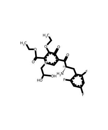 CCOC(=O)c1c(OCC)c(=O)c(C(=O)[C@@H](N)Cc2c(F)cc(F)cc2F)cn1CC(O)O